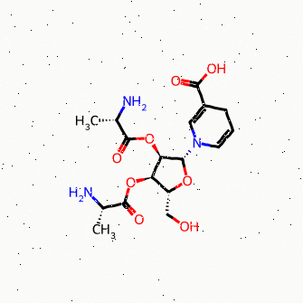 C[C@H](N)C(=O)O[C@@H]1[C@H](OC(=O)[C@H](C)N)[C@@H](CO)O[C@H]1N1C=CCC(C(=O)O)=C1